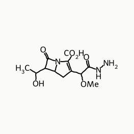 COC(C(=O)NN)C1=C(C(=O)O)N2C(=O)C(C(C)O)C2C1